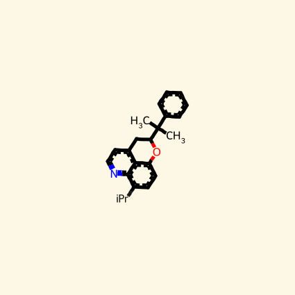 CC(C)c1ccc2c3c(ccnc13)CC(C(C)(C)c1ccccc1)O2